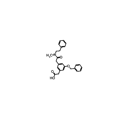 CN(CCc1ccccc1)C(=O)Cc1cc(CC(=O)O)cc(OCc2ccccc2)c1